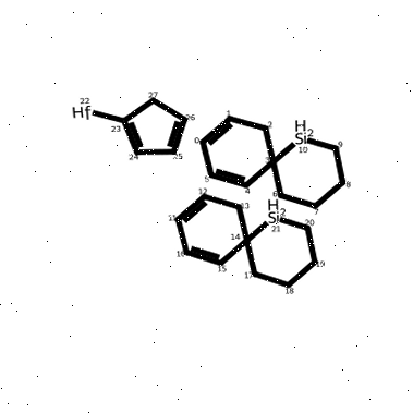 C1=CCC2(C=C1)CCCC[SiH2]2.C1=CCC2(C=C1)CCCC[SiH2]2.[Hf][C]1=CC=CC1